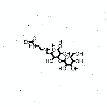 CCC(=O)NCCNCC(O)C(O)C(OC1OC(CO)C(O)C(O)C1O)C(O)CO